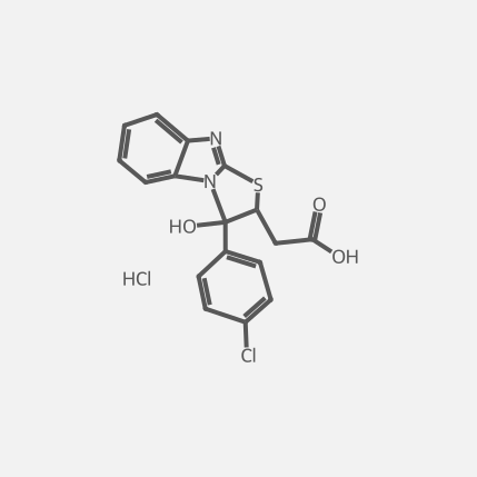 Cl.O=C(O)CC1Sc2nc3ccccc3n2C1(O)c1ccc(Cl)cc1